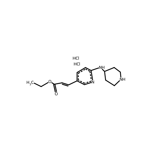 CCOC(=O)C=Cc1ccc(NC2CCNCC2)nc1.Cl.Cl